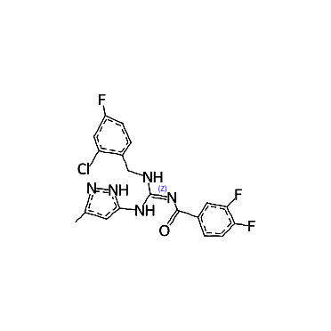 Cc1cc(N/C(=N\C(=O)c2ccc(F)c(F)c2)NCc2ccc(F)cc2Cl)[nH]n1